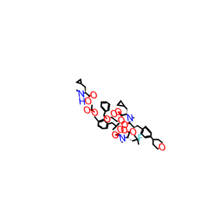 CN[C@@H](CC1CC1)C(=O)OCC(=O)OCc1cccc(CC(C)(C)OC(=O)N(C)[C@@H](CC(C)(C)F)C(=O)O[C@H](Cc2ccc(C3CCOCC3)cc2)C(=O)N(C)[C@@H](CC2CC2)C(=O)OCC(=O)OCc2ccccc2)c1